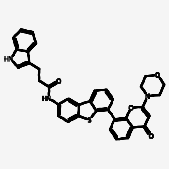 O=C(CCc1c[nH]c2ccccc12)Nc1ccc2sc3c(-c4cccc5c(=O)cc(N6CCOCC6)oc45)cccc3c2c1